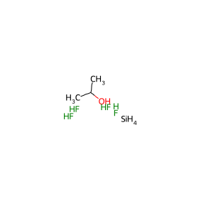 CC(C)O.F.F.F.F.[SiH4]